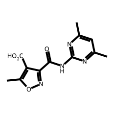 Cc1cc(C)nc(NC(=O)c2noc(C)c2C(=O)O)n1